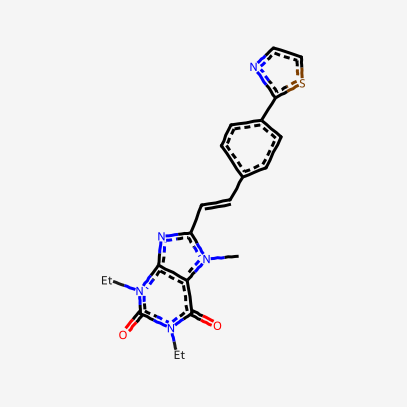 CCn1c(=O)c2c(nc(C=Cc3ccc(-c4nccs4)cc3)n2C)n(CC)c1=O